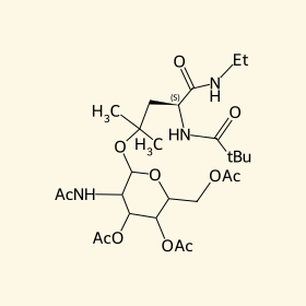 CCNC(=O)[C@H](CC(C)(C)OC1OC(COC(C)=O)C(OC(C)=O)C(OC(C)=O)C1NC(C)=O)NC(=O)C(C)(C)C